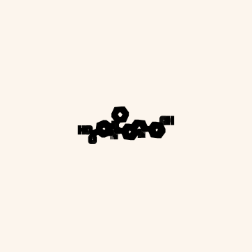 O=C(O)c1ccc2c(c1)nc(-c1ccc3nc(-c4cccc(O)c4)ccc3c1)n2C1CCCCC1